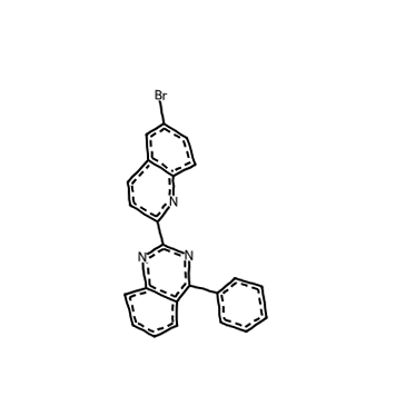 Brc1ccc2nc(-c3nc(-c4ccccc4)c4ccccc4n3)ccc2c1